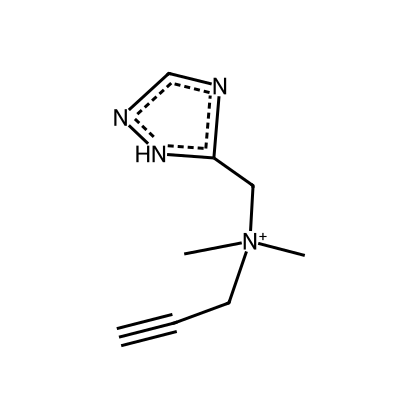 C#CC[N+](C)(C)Cc1ncn[nH]1